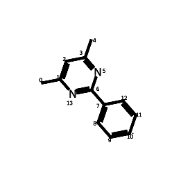 Cc1cc(C)nc(-c2cc[c]cc2)n1